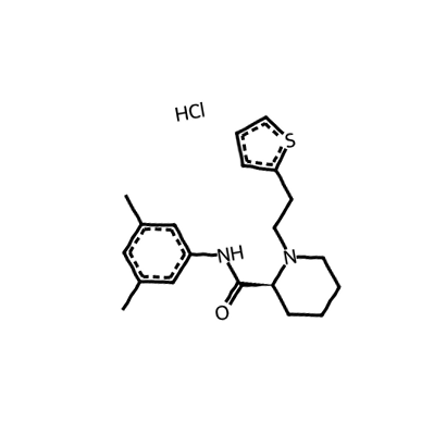 Cc1cc(C)cc(NC(=O)[C@@H]2CCCCN2CCc2cccs2)c1.Cl